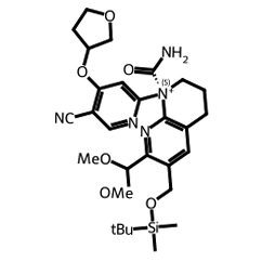 COC(OC)c1nc2c(cc1CO[Si](C)(C)C(C)(C)C)CCC[N@+]2(C(N)=O)c1cc(OC2CCOC2)c(C#N)cn1